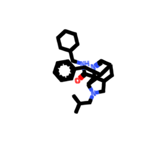 CC(C)CN1CC2CC3C=NC2(C(=O)NCC2CCCCC2)C1C3Cc1ccccc1